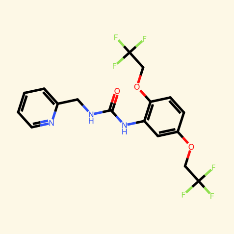 O=C(NCc1ccccn1)Nc1cc(OCC(F)(F)F)ccc1OCC(F)(F)F